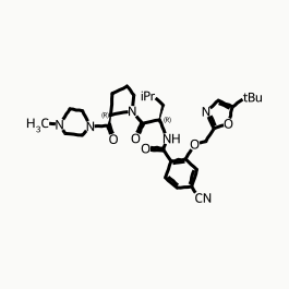 CC(C)C[C@@H](NC(=O)c1ccc(C#N)cc1OCc1ncc(C(C)(C)C)o1)C(=O)N1CCC[C@@H]1C(=O)N1CCN(C)CC1